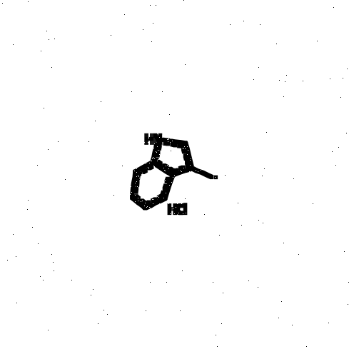 Cl.[CH2]c1c[nH]c2ccccc12